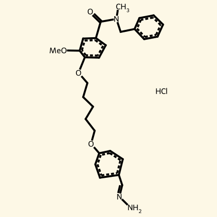 COc1cc(C(=O)N(C)Cc2ccccc2)ccc1OCCCCCOc1ccc(C=NN)cc1.Cl